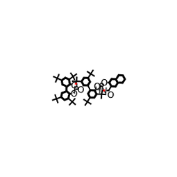 CC(C)(C)c1cc(-c2cc(C(C)(C)C)cc(C(C)(C)C)c2Op2oc3c(C(C)(C)C)cc(C(C)(C)C)cc3c3cc(C(C)(C)C)cc(C(C)(C)C)c3o2)c(OP2NC(=O)c3cc4ccccc4cc3O2)c(C(C)(C)C)c1